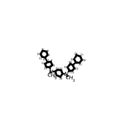 CN(c1ccc(-c2ccccc2)cc1)c1ccc(N(C)c2ccc(-c3ccccc3)cc2)cc1